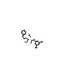 COC(=O)C(C(=O)c1cc(C(F)(F)F)cc(C(F)(F)F)c1)N(CC(=O)O)C1CCNC(Cc2ccc(Cl)cc2)C1